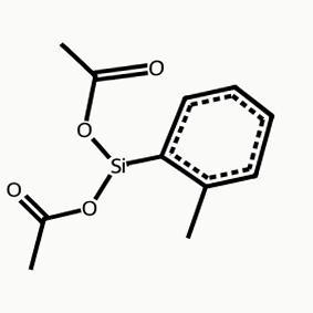 CC(=O)O[Si](OC(C)=O)c1ccccc1C